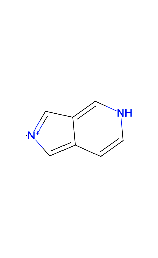 C1=CC2=C[N+]=CC2=CN1